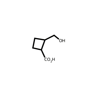 O=C(O)C1CCC1CO